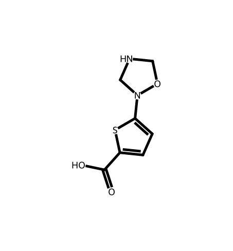 O=C(O)c1ccc(N2CNCO2)s1